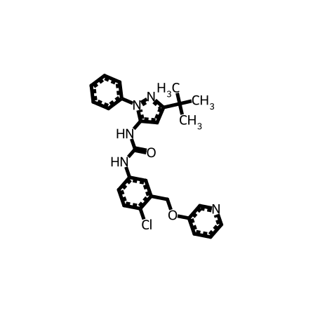 CC(C)(C)c1cc(NC(=O)Nc2ccc(Cl)c(COc3cccnc3)c2)n(-c2ccccc2)n1